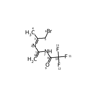 C=C(N=C(C)CBr)NC(=O)C(F)(F)F